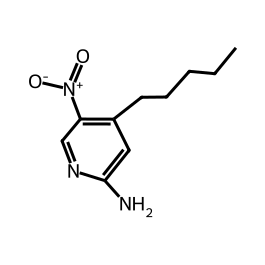 CCCCCc1cc(N)ncc1[N+](=O)[O-]